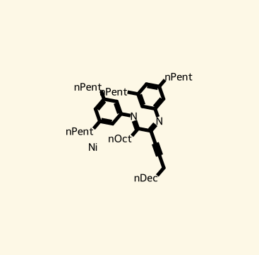 CCCCCCCCCCCC#CC(=Nc1cc(CCCCC)cc(CCCCC)c1)C(CCCCCCCC)=Nc1cc(CCCCC)cc(CCCCC)c1.[Ni]